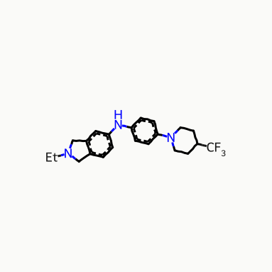 CCN1Cc2ccc(Nc3ccc(N4CCC(C(F)(F)F)CC4)cc3)cc2C1